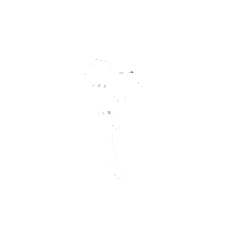 NC=CCNC(=O)Nc1ccccc1C(N)=O